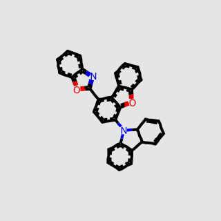 C1=CC2c3ccccc3N(c3ccc(-c4nc5ccccc5o4)c4c3oc3ccccc34)C2C=C1